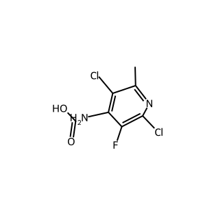 Cc1nc(Cl)c(F)c(N)c1Cl.O=CO